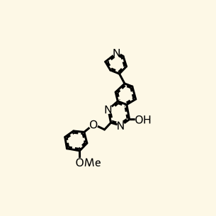 COc1cccc(OCc2nc(O)c3ccc(-c4ccncc4)cc3n2)c1